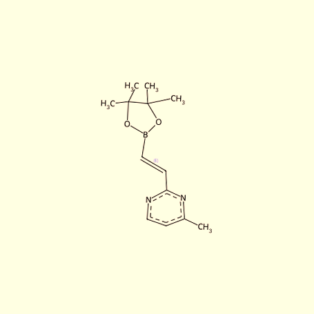 Cc1ccnc(/C=C/B2OC(C)(C)C(C)(C)O2)n1